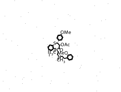 COc1ccc([C@H]2Sc3ccccc3[N+](C)(CCN(C)CCc3ccccc3OC)C(=O)[C@H]2OC(C)=O)cc1.[I-]